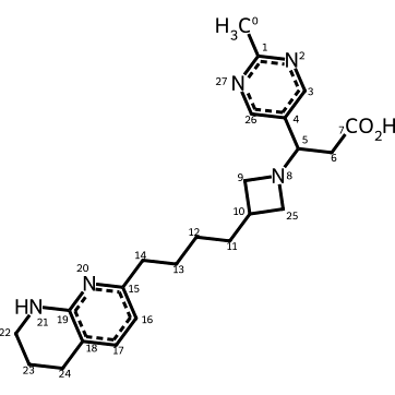 Cc1ncc(C(CC(=O)O)N2CC(CCCCc3ccc4c(n3)NCCC4)C2)cn1